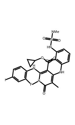 CNS(=O)(=O)Nc1cccc(Nc2c(C(=O)OC3CC3)c(Nc3ccc(I)cc3F)n(C)c(=O)c2C)c1Cl